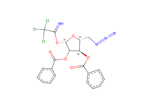 [N-]=[N+]=NC[C@H]1O[C@@H](OC(=N)C(Cl)(Cl)Cl)C(OC(=O)c2ccccc2)[C@@H]1OC(=O)c1ccccc1